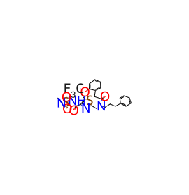 Cc1sc(CN(CCCc2ccccc2)C(=O)Cc2ccccc2OC(F)(F)F)nc1C(=O)NS(=O)(=O)N(C)C